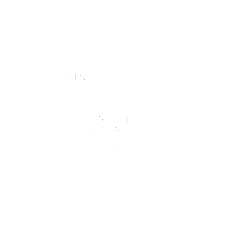 NCCCCNC(=O)c1cc2ccccc2c(-c2ccccc2Cl)n1